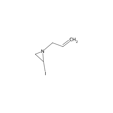 C=CCN1CC1I